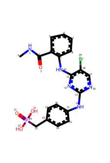 CNC(=O)c1ccccc1Nc1nc(Nc2ccc(CP(=O)(O)O)cc2)ncc1Br